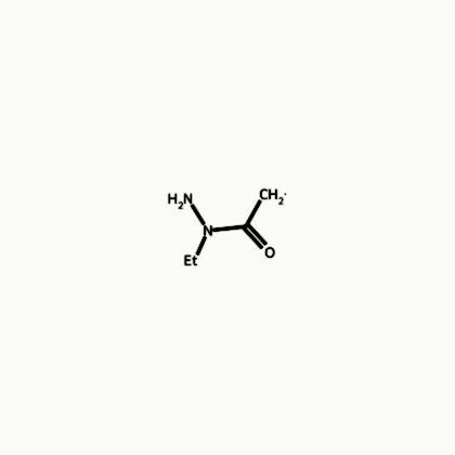 [CH2]C(=O)N(N)CC